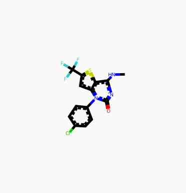 CNc1nc(=O)n(-c2ccc(Cl)cc2)c2cc(C(F)(F)F)sc12